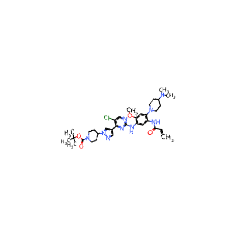 C=CC(=O)Nc1cc(Nc2ncc(Cl)c(-c3cnn(C4CCN(C(=O)OC(C)(C)C)CC4)c3)n2)c(OC)cc1N1CCC(N(C)C)CC1